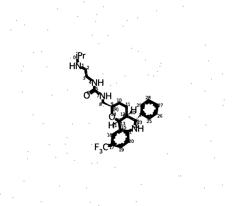 CC(C)NCCNC(=O)NC[C@H]1CC[C@@H]2[C@H](O1)c1cc(C(F)(F)F)ccc1N[C@H]2c1ccccc1